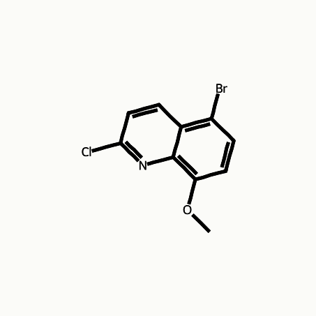 COc1ccc(Br)c2ccc(Cl)nc12